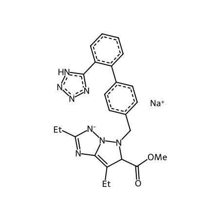 CCC1=NC2=C(CC)C(C(=O)OC)N(Cc3ccc(-c4ccccc4-c4nnn[nH]4)cc3)N2[N-]1.[Na+]